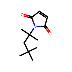 CC(C)(C)CC(C)(C)N1C(=O)C=CC1=O